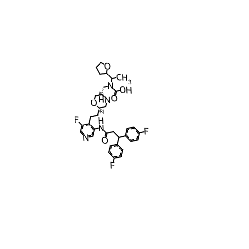 CC(C1CCCO1)N(C[C@H]1CO[C@H](CCc2c(F)cncc2NC(=O)CC(c2ccc(F)cc2)c2ccc(F)cc2)CN1)C(=O)O